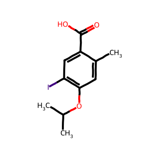 Cc1cc(OC(C)C)c(I)cc1C(=O)O